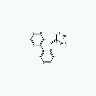 NC(=S)S.[Zn].c1ccc(-c2ccccc2)cc1